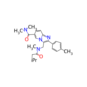 Cc1ccc(-c2nc3ccc(C(=O)N(C)C)cn3c2CN(C)C(=O)CC(C)C)cc1